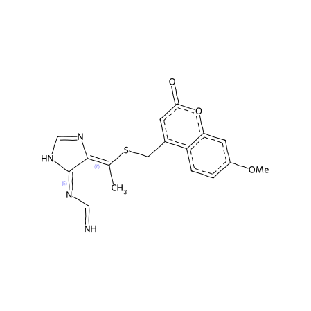 COc1ccc2c(CS/C(C)=C3\N=CN\C3=N\C=N)cc(=O)oc2c1